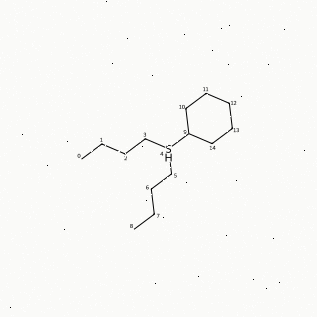 CCCC[SH](CCCC)C1CCCCC1